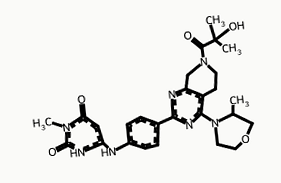 CC1COCCN1c1nc(-c2ccc(Nc3cc(=O)n(C)c(=O)[nH]3)cc2)nc2c1CCN(C(=O)C(C)(C)O)C2